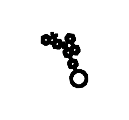 CC1(C)c2ccccc2-c2ccc(N(c3ccc(-c4ccc(C5CCCCCCCCCCC5)cc4)cc3)c3ccccc3-c3ccccc3)cc21